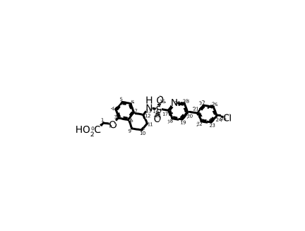 O=C(O)COc1cccc2c1CCCC2NS(=O)(=O)c1ccc(-c2ccc(Cl)cc2)cn1